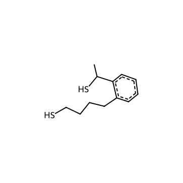 CC(S)c1ccccc1CCCCS